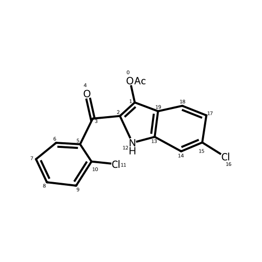 CC(=O)Oc1c(C(=O)c2ccccc2Cl)[nH]c2cc(Cl)ccc12